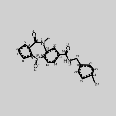 CN1C(=O)c2ccccc2[S+]([O-])c2ccc(C(=O)NCc3ccc(I)cc3)cc21